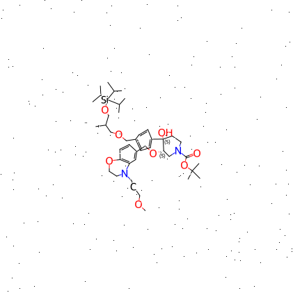 COCCCN1CCOc2ccc(CO[C@H]3CN(C(=O)OC(C)(C)C)CC[C@]3(O)c3ccc(COCC(C)CO[Si](C(C)C)(C(C)C)C(C)C)cc3)cc21